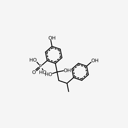 CC(CC(O)(O)c1ccc(O)cc1P(=O)(O)O)c1ccc(O)cc1